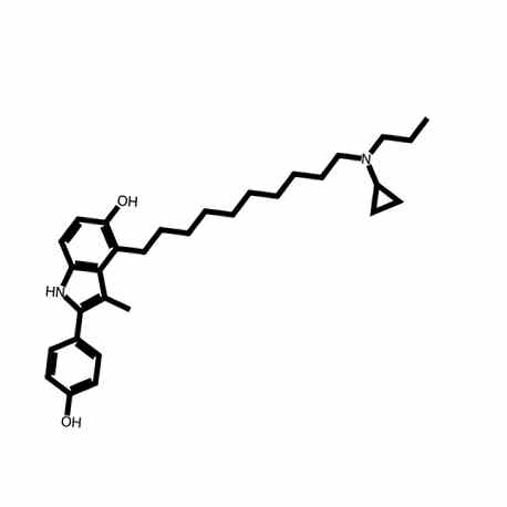 CCCN(CCCCCCCCCCc1c(O)ccc2[nH]c(-c3ccc(O)cc3)c(C)c12)C1CC1